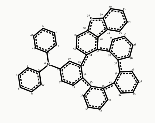 c1ccc(N(c2ccccc2)c2ccc3c4ccccc4c4ccccc4c4ccccc4c4c(ccc5sc6ccccc6c54)c3c2)cc1